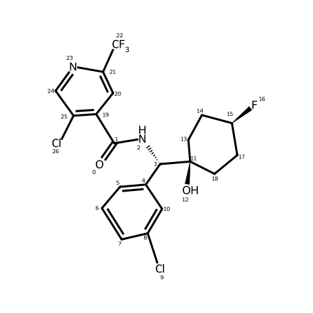 O=C(N[C@@H](c1cccc(Cl)c1)[C@]1(O)CC[C@@H](F)CC1)c1cc(C(F)(F)F)ncc1Cl